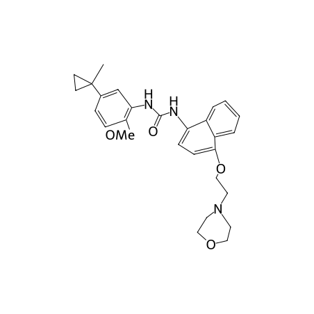 COc1ccc(C2(C)CC2)cc1NC(=O)Nc1ccc(OCCN2CCOCC2)c2ccccc12